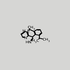 CC(C)c1cccc(C(C)C)c1C(C=N)c1ccccn1